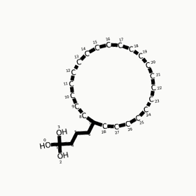 OC(O)(O)CCCC1CCCCCCCCCCCCCCCCCCCCC1